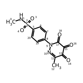 CNS(=O)(=O)c1ccc(N2N=C(C)C(=O)C(=O)C2=O)cc1